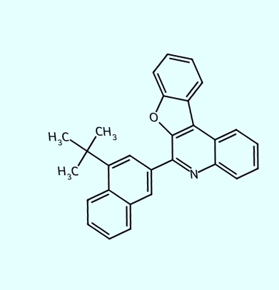 CC(C)(C)c1cc(-c2nc3ccccc3c3c2oc2ccccc23)cc2ccccc12